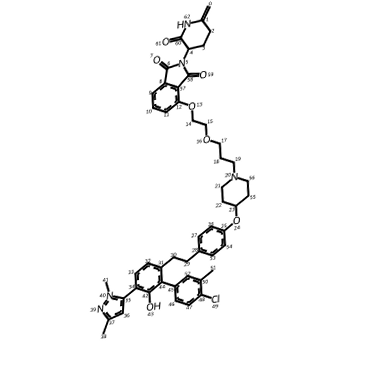 C=C1CCC(N2C(=O)c3cccc(OCCOCCCN4CCC(Oc5ccc(CCc6ccc(-c7cc(C)nn7C)c(O)c6-c6ccc(Cl)c(C)c6)cc5)CC4)c3C2=O)C(=O)N1